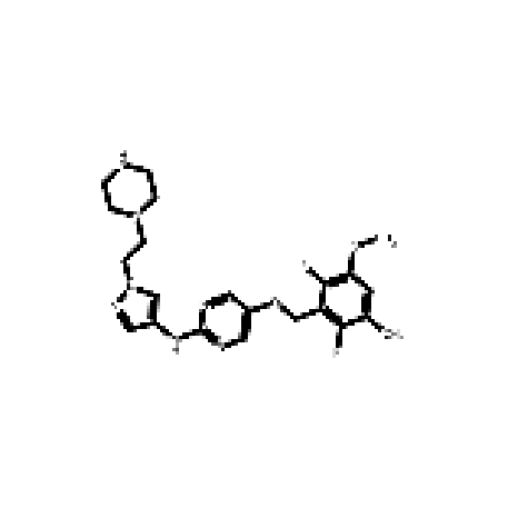 COc1cc(C)c(F)c(COc2cnc(Nc3cnn(CCN4CCNCC4)c3)nc2)c1F